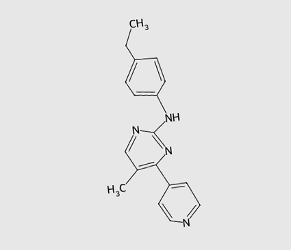 CCc1ccc(Nc2ncc(C)c(-c3ccncc3)n2)cc1